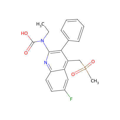 CCN(C(=O)O)c1nc2ccc(F)cc2c(CS(C)(=O)=O)c1-c1ccccc1